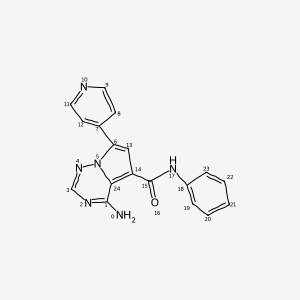 Nc1ncnn2c(-c3ccncc3)cc(C(=O)Nc3ccccc3)c12